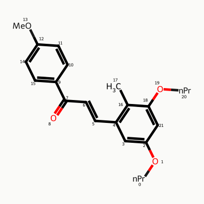 CCCOc1cc(C=CC(=O)c2ccc(OC)cc2)c(C)c(OCCC)c1